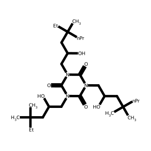 CCCC(C)(C)CC(O)Cn1c(=O)n(CC(O)CC(C)(C)CC)c(=O)n(CC(O)CC(C)(CC)CCC)c1=O